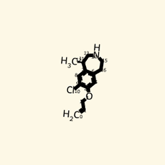 C=CCOc1cc2c(cc1Cl)[C@@H](C)CNCC2